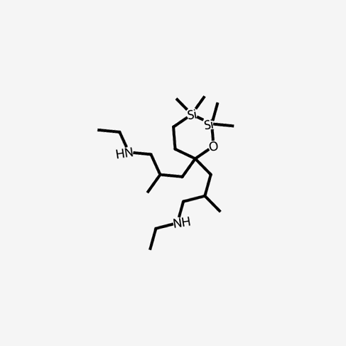 CCNCC(C)CC1(CC(C)CNCC)CC[Si](C)(C)[Si](C)(C)O1